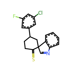 Fc1cc(Cl)cc(C2CCC(=S)C3(C=Nc4ccccc43)C2)c1